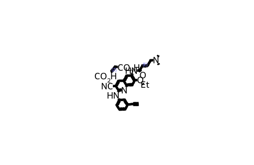 C#Cc1cccc(Nc2nc3cc(OCC)c(NC(=O)/C=C/CN(C)C)cc3cc2C#N)c1.O=C(O)/C=C\C(=O)O